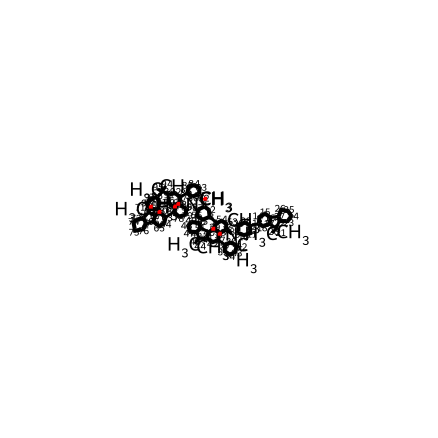 Cc1cc(-c2ccc(N(c3ccc(-c4ccc5c(c4)C(C)(C)c4ccccc4-5)cc3)c3c(C)cccc3-c3ccc4c(c3)C(C)(C)c3ccccc3-4)c(C)c2)ccc1N(c1ccc(-c2ccc3c(c2)C(C)(C)c2ccccc2-3)cc1)c1c(C)cccc1-c1ccc2c(c1)C(C)(C)c1ccccc1-2